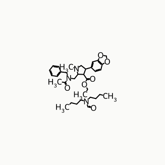 CCCCN(C=O)CCCC.CCOC(=O)C1C(c2ccc3c(c2)OCO3)CN(C)C1CN(Cc1ccccc1)C(C)=O